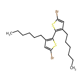 CCCCCCc1cc(Br)sc1-c1sc(Br)cc1CCCCCC